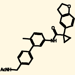 CC(=O)NCc1ccc(-c2cc(NC(=O)C3(c4ccc5c(c4)CCO5)CC3)ccc2C)cc1